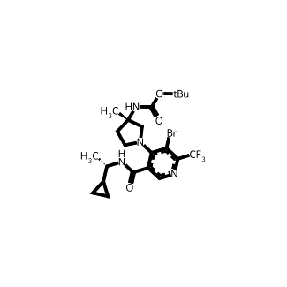 C[C@H](NC(=O)c1cnc(C(F)(F)F)c(Br)c1N1CC[C@](C)(NC(=O)OC(C)(C)C)C1)C1CC1